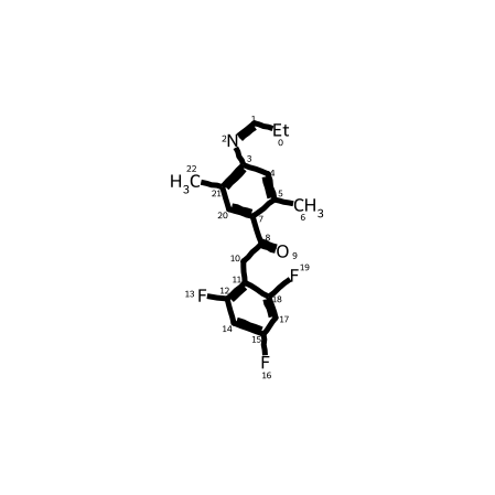 CC/C=N\c1cc(C)c(C(=O)Cc2c(F)cc(F)cc2F)cc1C